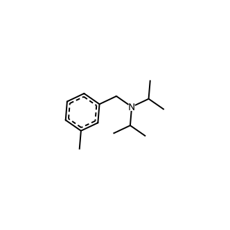 Cc1cccc(CN(C(C)C)C(C)C)c1